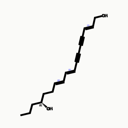 CCC[C@@H](O)CC/C=C/C=C/C#CC#C/C=C/CO